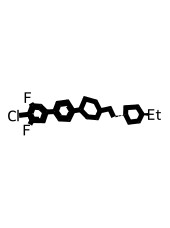 CC[C@H]1CC[C@H](CCC2CCC(c3ccc(-c4cc(F)c(Cl)c(F)c4)cc3)CC2)CC1